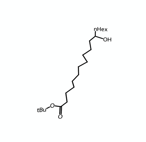 CCCCCCC(O)CCCCCCCCCCC(=O)OC(C)(C)C